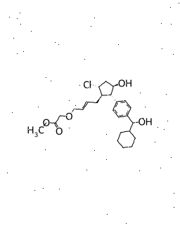 COC(=O)COC/C=C/C[C@@H]1[C@@H](c2ccc(C(O)C3CCCCC3)cc2)[C@H](O)C[C@H]1Cl